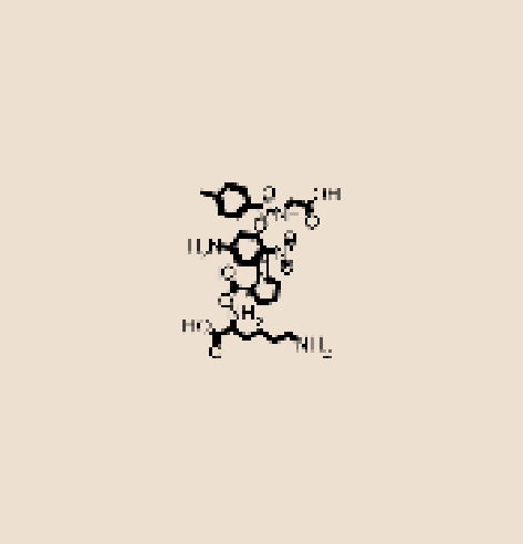 Cc1ccc(S(=O)(=O)NCC(=O)O)cc1.NCCCCC(N)C(=O)O.Nc1ccc([N+](=O)[O-])cc1.O=C(O)[C@@H]1CCCN1